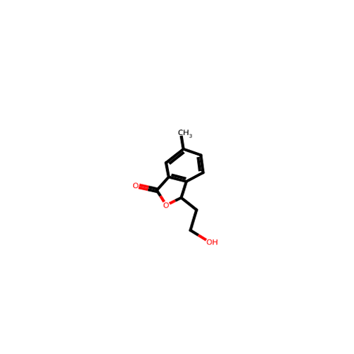 Cc1ccc2c(c1)C(=O)OC2CCO